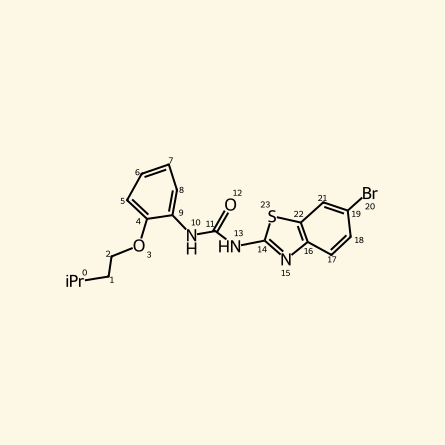 CC(C)CCOc1ccccc1NC(=O)Nc1nc2ccc(Br)cc2s1